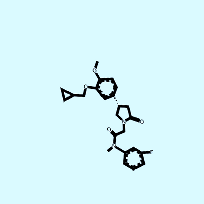 COc1ccc([C@@H]2CC(=O)N(CC(=O)N(C)c3cccc(F)c3)C2)cc1OCC1CC1